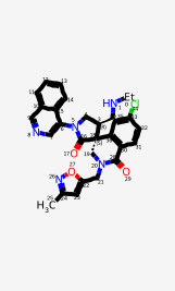 CCNC[C@@H]1CN(c2cncc3ccccc23)C(=O)[C@@]12CN(Cc1cc(C)no1)C(=O)c1ccc(Cl)cc12